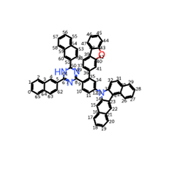 c1ccc2cc(C3=NC(c4ccc(-n5c6cc7ccccc7cc6c6c7ccccc7ccc65)cc4-c4ccc5c(c4)oc4ccccc45)=NC(c4ccc5ccccc5c4)N3)ccc2c1